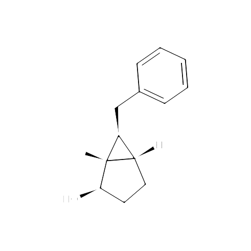 O[C@@H]1CC[C@H]2[C@H](Cc3ccccc3)[C@H]21